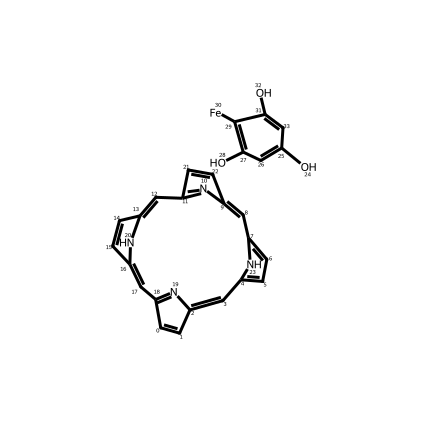 C1=Cc2cc3ccc(cc4nc(cc5ccc(cc1n2)[nH]5)C=C4)[nH]3.Oc1cc(O)[c]([Fe])c(O)c1